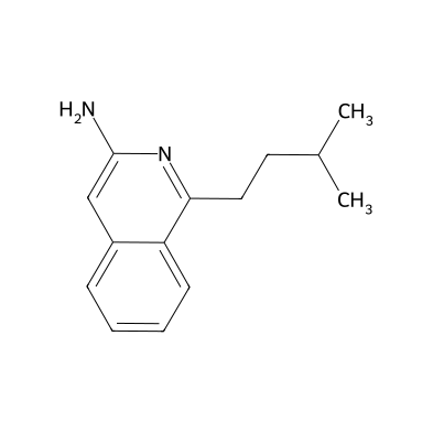 CC(C)CCc1nc(N)cc2ccccc12